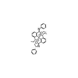 CCO/C(=N\c1ccccc1)c1cccc2c1[C@@]1(O[C@@H](CC)c3cccc(C4=N[C@H](c5ccccc5)CO4)c31)O[C@H]2CC